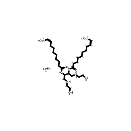 CCCCCCCC/C=C\CCCCCCCC(=O)OC(CNCCO)C(CNCCO)OC(=O)CCCCCCC/C=C\CCCCCCCC.I.I